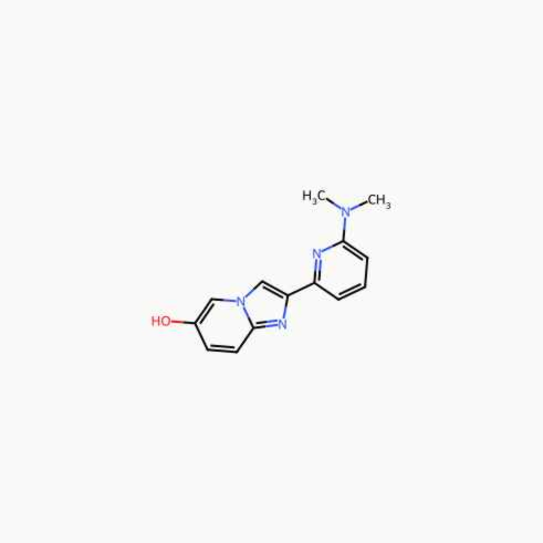 CN(C)c1cccc(-c2cn3cc(O)ccc3n2)n1